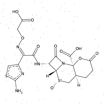 Nc1nc(/C(=N/OCC(=O)O)C(=O)N[C@@H]2C(=O)N3[C@@H]2[S@@+]([O-])C[C@@H]2CCC(=O)O[C@@]23C(=O)O)cs1